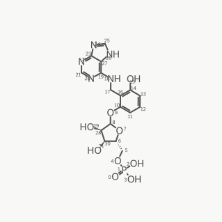 O=P(O)(O)OC[C@H]1OC(Oc2cccc(O)c2CNc2ncnc3nc[nH]c23)[C@H](O)[C@@H]1O